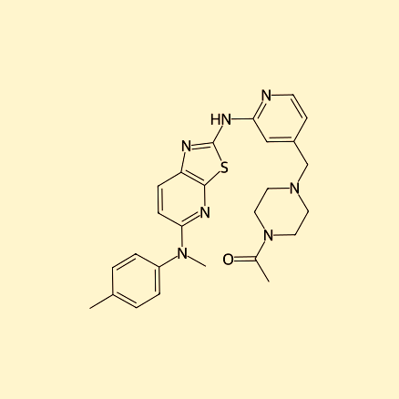 CC(=O)N1CCN(Cc2ccnc(Nc3nc4ccc(N(C)c5ccc(C)cc5)nc4s3)c2)CC1